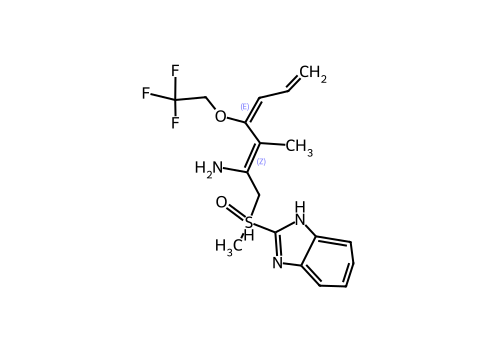 C=C/C=C(OCC(F)(F)F)\C(C)=C(/N)C[SH](C)(=O)c1nc2ccccc2[nH]1